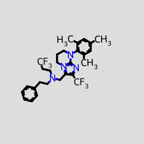 Cc1cc(C)c(N2CCCn3c2nc(C(F)(F)F)c3CN(CCc2ccccc2)CCC(F)(F)F)c(C)c1